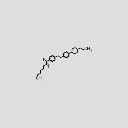 CCCCCC/C(F)=C(\F)c1ccc(CCc2ccc(C3CCC(CCC)CC3)cc2)cc1